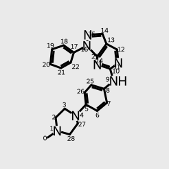 CN1CCN(c2ccc(Nc3ncc4cnn(-c5ccccc5)c4n3)cc2)CC1